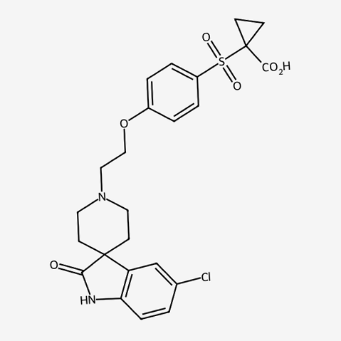 O=C1Nc2ccc(Cl)cc2C12CCN(CCOc1ccc(S(=O)(=O)C3(C(=O)O)CC3)cc1)CC2